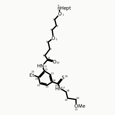 CCCCCCCOCCCOCCCC(=O)Nc1cc(C(=S)NCCCOC)ccc1CC